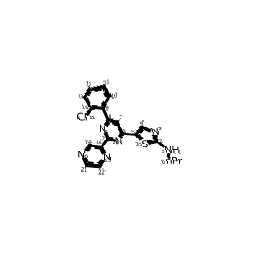 CCCNc1ncc(-c2cc(-c3ccccc3Cl)nc(-c3cnccn3)n2)s1